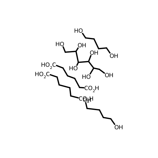 O=C(O)CCCCC(=O)O.O=C(O)CCCCC(=O)O.OCC(O)C(O)C(O)C(O)CO.OCCCCO.OCCCCO